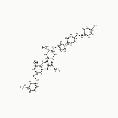 Cl.NNC(=O)C(=Cc1ccc(OCc2cccc(C(F)(F)F)c2)cc1O)N1CCN(Cc2nc(-c3ccc(COc4ccc(F)cc4)cc3)no2)CC1